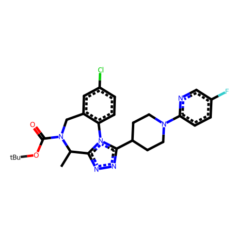 CC1c2nnc(C3CCN(c4ccc(F)cn4)CC3)n2-c2ccc(Cl)cc2CN1C(=O)OC(C)(C)C